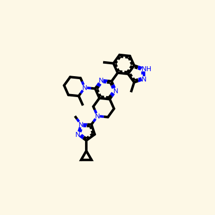 Cc1ccc2[nH]nc(C)c2c1-c1nc2c(c(N3CCCCC3C)n1)CN(c1cc(C3CC3)nn1C)CC2